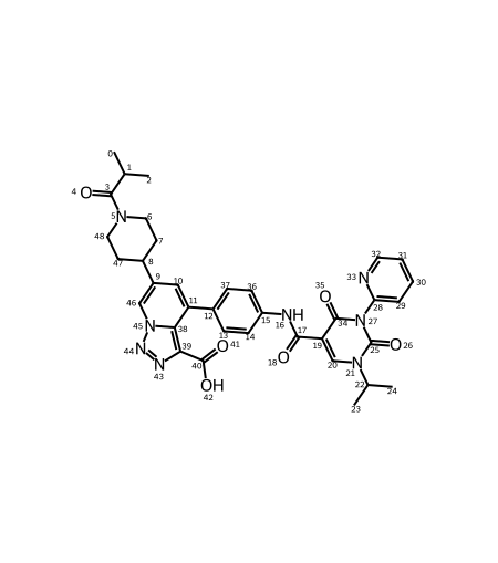 CC(C)C(=O)N1CCC(c2cc(-c3ccc(NC(=O)c4cn(C(C)C)c(=O)n(-c5ccccn5)c4=O)cc3)c3c(C(=O)O)nnn3c2)CC1